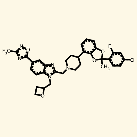 CC1(c2ccc(Cl)cc2F)Oc2cccc(C3CCN(Cc4nc5cc(-c6nc(C(F)(F)F)no6)ccc5n4CC4CCO4)CC3)c2O1